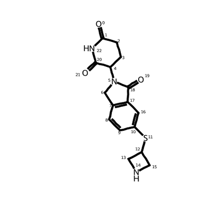 O=C1CCC(N2Cc3ccc(SC4CNC4)cc3C2=O)C(=O)N1